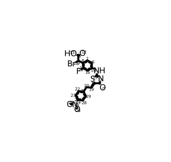 O=C1N=C(Nc2ccc(C(Br)C(=O)O)c(F)c2)SC1=CCc1ccc([N+](=O)[O-])cc1